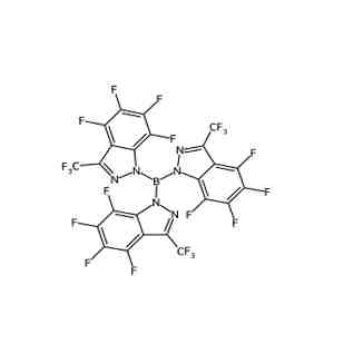 Fc1c(F)c(F)c2c(c(C(F)(F)F)nn2B(n2nc(C(F)(F)F)c3c(F)c(F)c(F)c(F)c32)n2nc(C(F)(F)F)c3c(F)c(F)c(F)c(F)c32)c1F